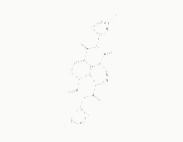 CC(=O)c1cnc(N2C(=O)c3ccc4c5c(ccc(c35)C2=O)C(=O)N(c2ncc(C(C)=O)o2)C4=O)o1